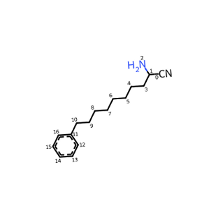 N#CC(N)CCCCCCCCc1ccccc1